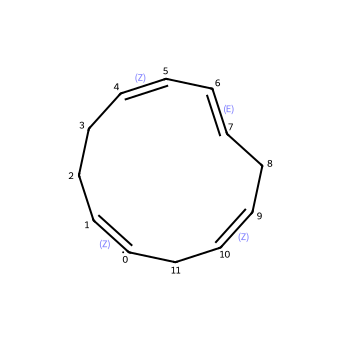 [C]1=C\CC/C=C\C=C\C/C=C\C/1